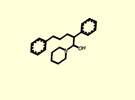 OC(C(CCCc1ccccc1)c1ccccc1)N1CCCCC1